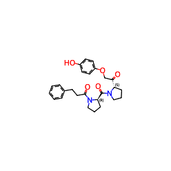 O=C(COc1ccc(O)cc1)[C@@H]1CCCN1C(=O)[C@H]1CCCN1C(=O)CCc1ccccc1